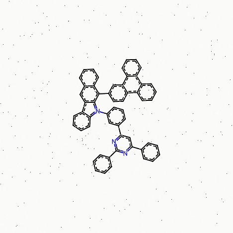 c1ccc(-c2cc(-c3cccc(-n4c5ccccc5c5cc6ccccc6c(-c6ccc7c8ccccc8c8ccccc8c7c6)c54)c3)nc(-c3ccccc3)n2)cc1